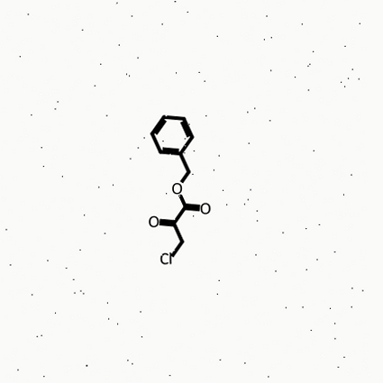 O=C(CCl)C(=O)OCc1ccccc1